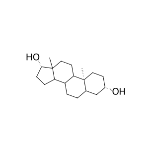 CC12CCC3C(CCC4C[C@@H](O)CC[C@@]43C)C1CC[C@@H]2O